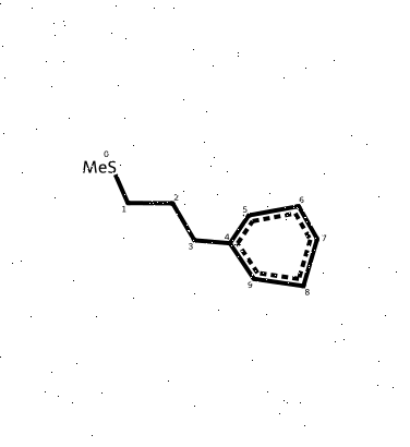 CSCCCc1[c]cccc1